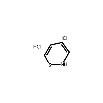 C1=CNSC=C1.Cl.Cl